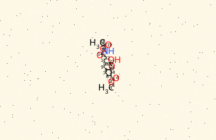 CCOC(=O)c1ccc(CC(CCC(=O)NOC(C)=O)C(=O)O)cc1